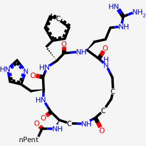 CCCCCC(=O)N[C@H]1CNC(=O)CCCCNC(=O)[C@H](CCCNC(=N)N)NC(=O)[C@@H](Cc2ccccc2)NC(=O)[C@H](Cc2c[nH]cn2)NC1=O